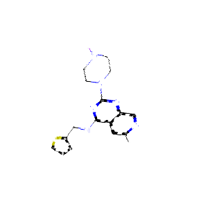 Cc1cc2c(NCc3cccs3)nc(N3CCN(I)CC3)nc2cn1